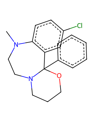 CN1CCN2CCCOC2(c2ccccc2)c2cc(Cl)ccc21